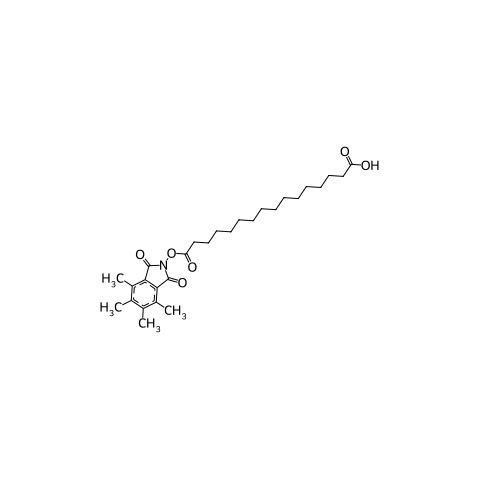 Cc1c(C)c(C)c2c(c1C)C(=O)N(OC(=O)CCCCCCCCCCCCCCC(=O)O)C2=O